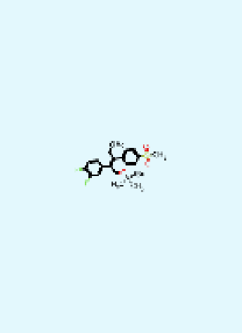 CC(=O)OC/C(=C(/CO[Si](C)(C)C(C)(C)C)c1ccc(F)c(F)c1)c1ccc(S(C)(=O)=O)cc1